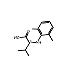 Cc1cccc(C)c1N[C@H](C(=O)O)C(C)C